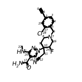 C#Cc1ccc(CN2CCC(CC#N)(n3cc(C(N)=O)c(NC)n3)C(F)C2)c(Cl)c1